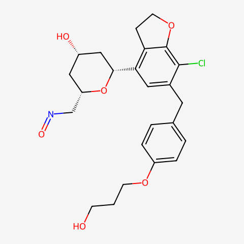 O=NC[C@@H]1C[C@H](O)C[C@H](c2cc(Cc3ccc(OCCCO)cc3)c(Cl)c3c2CCO3)O1